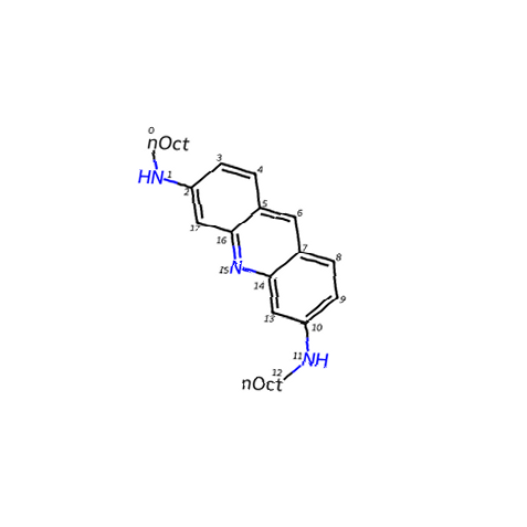 CCCCCCCCNc1ccc2cc3ccc(NCCCCCCCC)cc3nc2c1